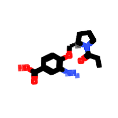 CCC(=O)N1CCC[C@H]1COc1ccc(C(=O)O)cc1N